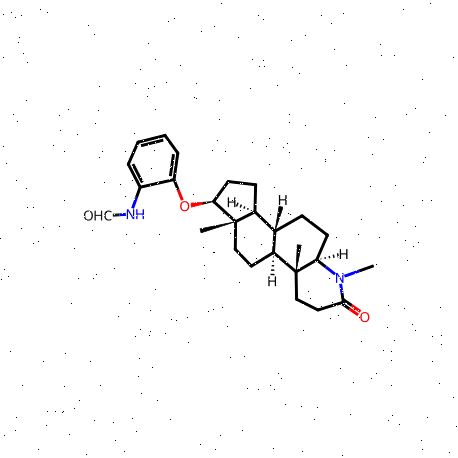 CN1C(=O)CC[C@]2(C)[C@H]3CC[C@]4(C)[C@@H](Oc5ccccc5NC=O)CC[C@H]4[C@@H]3CC[C@@H]12